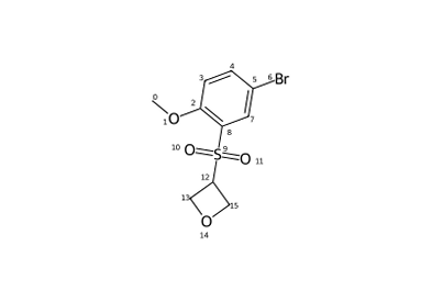 COc1ccc(Br)cc1S(=O)(=O)C1COC1